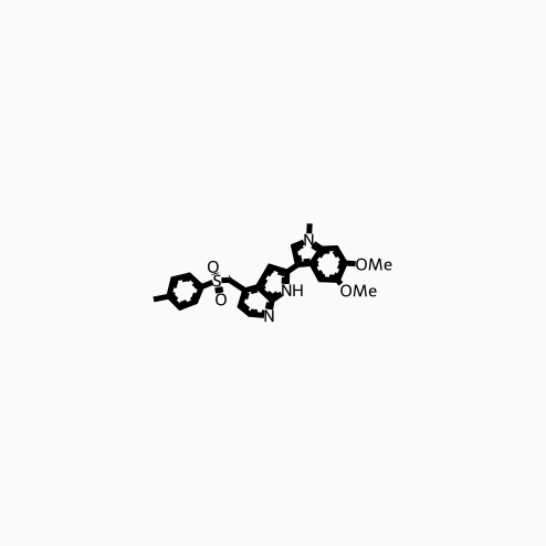 COc1cc2c(-c3cc4c([CH]S(=O)(=O)c5ccc(C)cc5)ccnc4[nH]3)cn(C)c2cc1OC